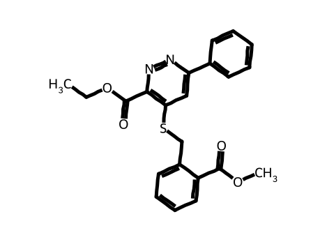 CCOC(=O)c1nnc(-c2ccccc2)cc1SCc1ccccc1C(=O)OC